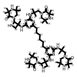 CC(C)(CN1CC(C)(C)NC(C)(C)C1=O)Nc1nc(CCCCCCc2nc(NC(C)(C)CN3CC(C)(C)NC(C)(C)C3=O)nc(NC3(C)CNC3N3CC(C)(C)NC(C)(C)C3=O)n2)nc(NC2(C)CNC2N2CC(C)(C)NC(C)(C)C2=O)n1